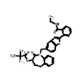 CCNC(=O)c1ccccc1-c1cc2cc(CN3C(=O)C(NC(=O)C(C)(C)N)CCc4ccccc43)ccc2s1